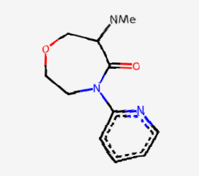 CNC1COCCN(c2ccccn2)C1=O